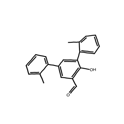 Cc1ccccc1-c1cc(C=O)c(O)c(-c2ccccc2C)c1